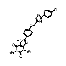 CCCn1c(=O)c2[nH]c(-c3ccc(OCc4noc(-c5ccc(Cl)cc5)n4)cc3)nc2n(CCC)c1=O